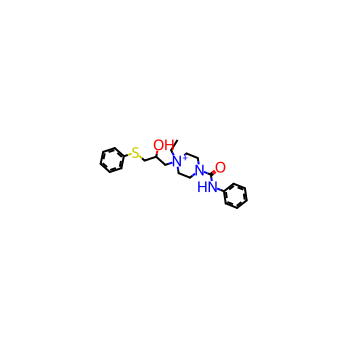 CC[N+]1(CC(O)CSc2ccccc2)CCN(C(=O)Nc2ccccc2)CC1